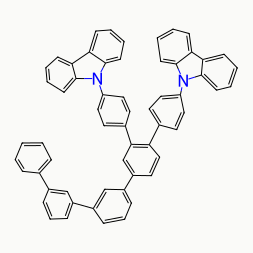 c1ccc(-c2cccc(-c3cccc(-c4ccc(-c5ccc(-n6c7ccccc7c7ccccc76)cc5)c(-c5ccc(-n6c7ccccc7c7ccccc76)cc5)c4)c3)c2)cc1